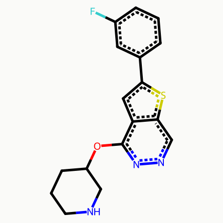 Fc1cccc(-c2cc3c(OC4CCCNC4)nncc3s2)c1